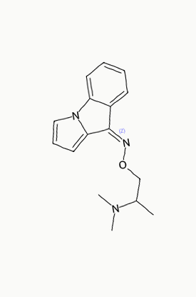 CC(CO/N=C1/c2ccccc2-n2cccc21)N(C)C